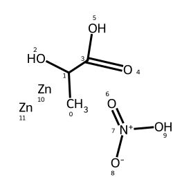 CC(O)C(=O)O.O=[N+]([O-])O.[Zn].[Zn]